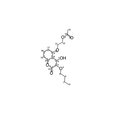 CCCCOc1c(O)c2c(OCCOC(C)=O)cccc2oc1=O